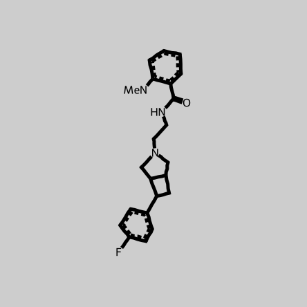 CNc1ccccc1C(=O)NCCN1CC2CC(c3ccc(F)cc3)C2C1